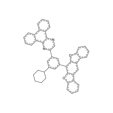 c1ccc2c(c1)oc1c(-c3cc(-c4cnc5c6ccccc6c6ccccc6c5n4)cc(C4CCCCC4)c3)c3oc4ccccc4c3cc12